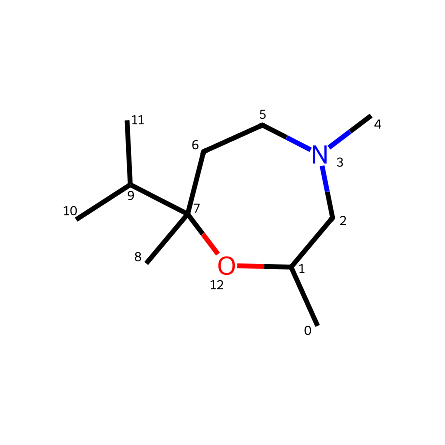 CC1CN(C)CCC(C)(C(C)C)O1